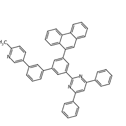 Cc1ccc(-c2cccc(-c3cc(-c4nc(-c5ccccc5)cc(-c5ccccc5)n4)cc(-c4cc5ccccc5c5ccccc45)c3)c2)cn1